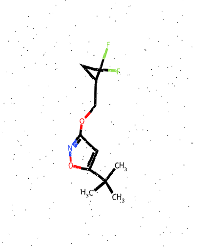 CC(C)(C)c1cc(OCC2CC2(F)F)no1